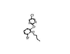 CCCCOc1c(Br)cccc1Oc1ncc(Cl)cn1